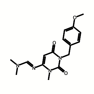 COc1ccc(Cn2c(=O)cc(N=CN(C)C)n(C)c2=O)cc1